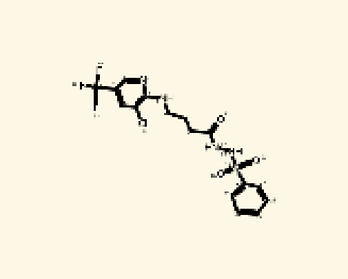 O=C(CCCNc1ncc(C(F)(F)F)cc1Cl)NNS(=O)(=O)c1ccccc1